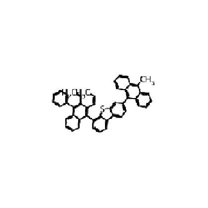 C=Cc1c(/C=C\C)c(-c2cccc3c2sc2cc(-c4c5ccccc5c(C)c5ccccc45)ccc23)c2ccccc2c1-c1ccccc1